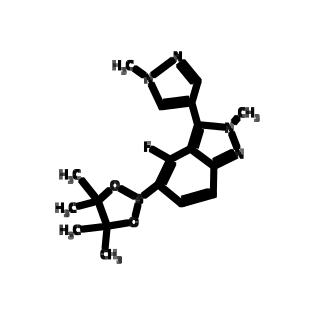 Cn1cc(-c2c3c(F)c(B4OC(C)(C)C(C)(C)O4)ccc3nn2C)cn1